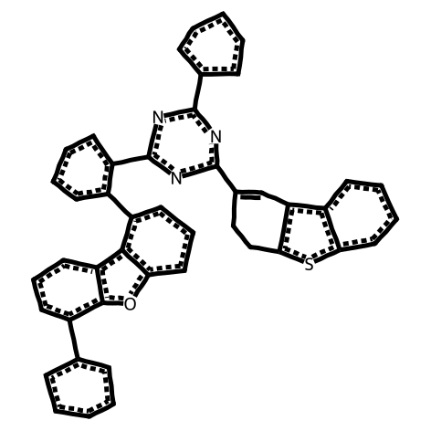 C1=C(c2nc(-c3ccccc3)nc(-c3ccccc3-c3cccc4oc5c(-c6ccccc6)cccc5c34)n2)CCc2sc3ccccc3c21